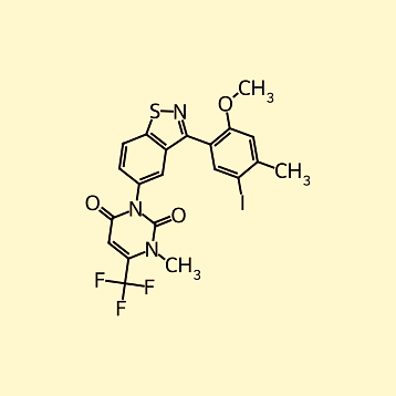 COc1cc(C)c(I)cc1-c1nsc2ccc(-n3c(=O)cc(C(F)(F)F)n(C)c3=O)cc12